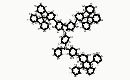 c1ccc(-c2c3ccccc3c(-c3ccccc3)c3cc(-c4ccc(N(c5ccccc5)c5ccc(-n6c7ccc(-c8ccc9c(c8)C8(c%10ccccc%10-c%10ccccc%108)c8ccccc8-9)cc7c7cc(-c8ccc9c(c8)C8(c%10ccccc%10-c%10ccccc%108)c8ccccc8-9)ccc76)cc5)cc4)ccc23)cc1